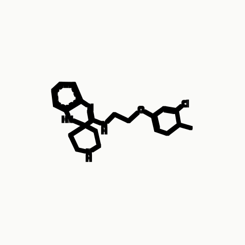 CC1CC=C(OCCNC2=Nc3ccccc3NC23CCNCC3)C=C1Cl